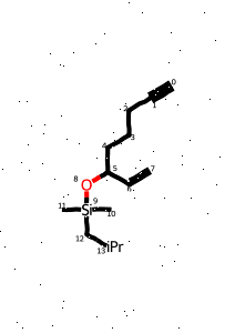 C#CCCCC(C=C)O[Si](C)(C)CC(C)C